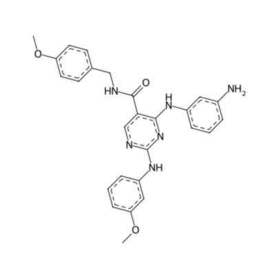 COc1ccc(CNC(=O)c2cnc(Nc3cccc(OC)c3)nc2Nc2cccc(N)c2)cc1